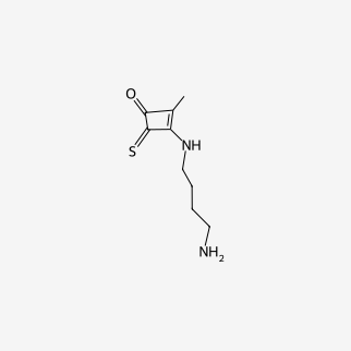 Cc1c(NCCCCN)c(=S)c1=O